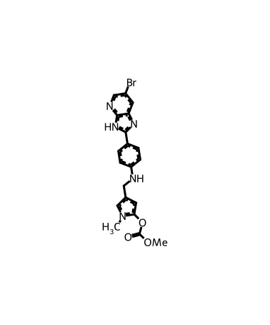 COC(=O)Oc1cc(CNc2ccc(-c3nc4cc(Br)cnc4[nH]3)cc2)cn1C